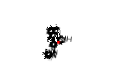 C=Cc1cccc2ccnc(N(C(=O)c3ccc(-n4nnc5cccnc54)cc3F)[C@@H]3CCCNC3)c12